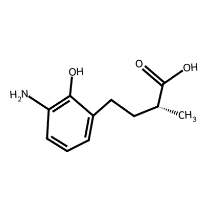 C[C@H](CCc1cccc(N)c1O)C(=O)O